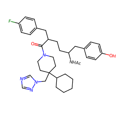 CC(=O)NC(CCC(Cc1ccc(F)cc1)C(=O)N1CCC(Cn2cncn2)(C2CCCCC2)CC1)Cc1ccc(O)cc1